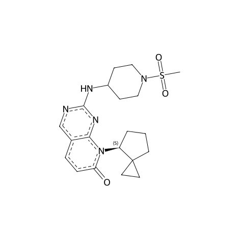 CS(=O)(=O)N1CCC(Nc2ncc3ccc(=O)n([C@H]4CCCC45CC5)c3n2)CC1